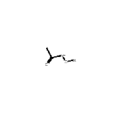 C[CH]ONC(C)=O